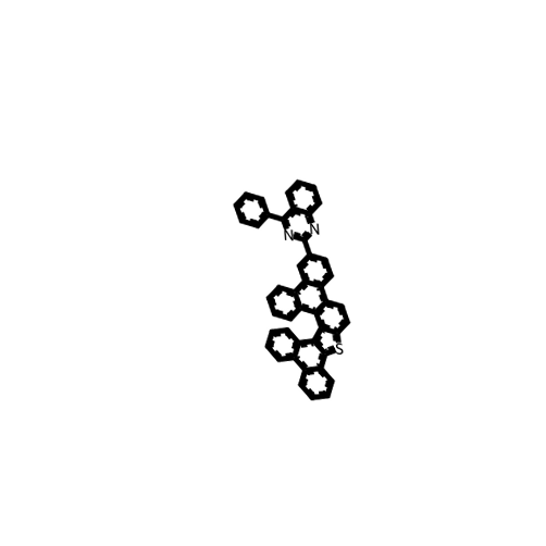 c1ccc(-c2nc(-c3ccc4c(c3)c3ccccc3c3c4ccc4sc5c6ccccc6c6ccccc6c5c43)nc3ccccc23)cc1